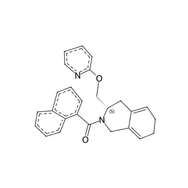 O=C(c1cccc2ccccc12)N1CC2=CCCC=C2C[C@H]1COc1ccccn1